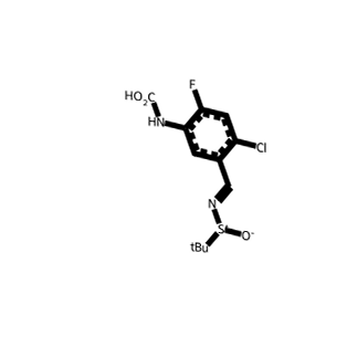 CC(C)(C)[S+]([O-])N=Cc1cc(NC(=O)O)c(F)cc1Cl